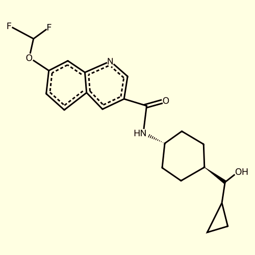 O=C(N[C@H]1CC[C@H](C(O)C2CC2)CC1)c1cnc2cc(OC(F)F)ccc2c1